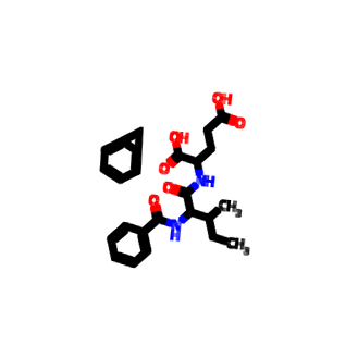 CCC(C)C(NC(=O)c1ccccc1)C(=O)NC(CCC(=O)O)C(=O)O.c1ccc2c(c1)C2